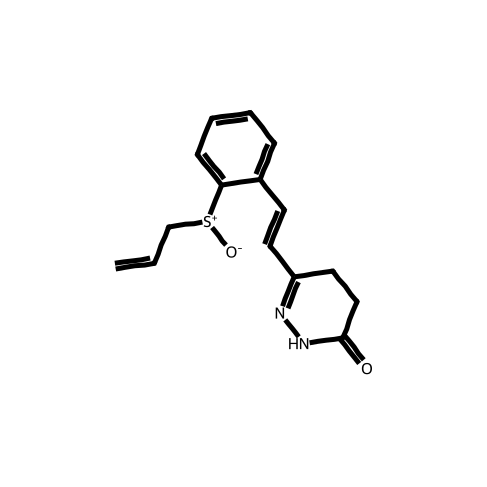 C=CC[S+]([O-])c1ccccc1C=CC1=NNC(=O)CC1